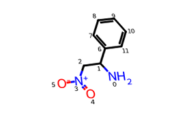 NC(C[N+](=O)[O-])c1ccccc1